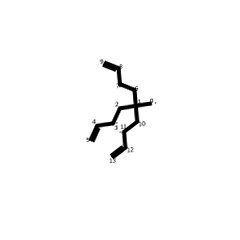 [CH2]C(C[CH]C=C)(C[CH]C=C)C[CH]C=C